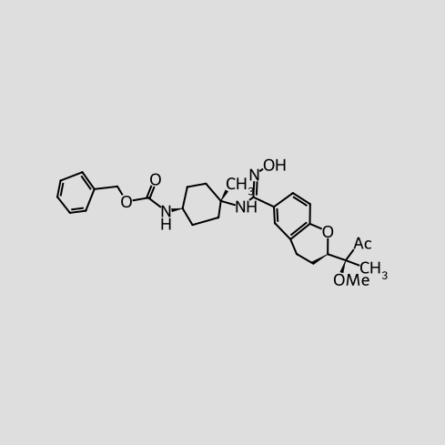 CO[C@](C)(C(C)=O)[C@H]1CCc2cc(/C(=N\O)N[C@]3(C)CC[C@@H](NC(=O)OCc4ccccc4)CC3)ccc2O1